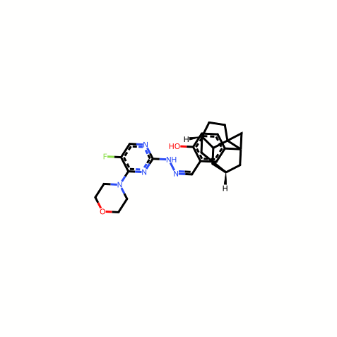 Oc1ccc(C23C[C@@H]4CC5[C@@H](CCC52C3)C4)cc1/C=N\Nc1ncc(F)c(N2CCOCC2)n1